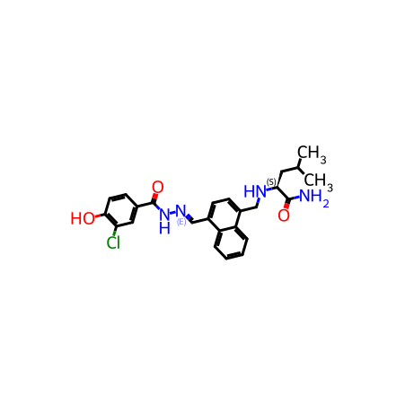 CC(C)C[C@H](NCc1ccc(/C=N/NC(=O)c2ccc(O)c(Cl)c2)c2ccccc12)C(N)=O